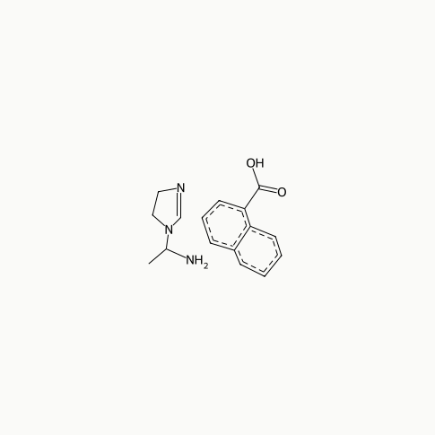 CC(N)N1C=NCC1.O=C(O)c1cccc2ccccc12